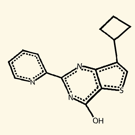 Oc1nc(-c2ccccn2)nc2c(C3CCC3)csc12